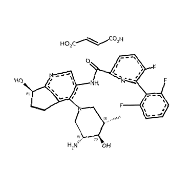 C[C@H]1CN(c2c(NC(=O)c3ccc(F)c(-c4c(F)cccc4F)n3)cnc3c2CC[C@H]3O)C[C@@H](N)[C@@H]1O.O=C(O)C=CC(=O)O